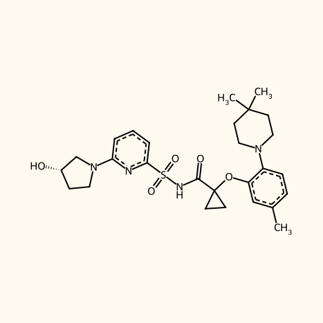 Cc1ccc(N2CCC(C)(C)CC2)c(OC2(C(=O)NS(=O)(=O)c3cccc(N4CC[C@H](O)C4)n3)CC2)c1